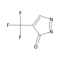 O=C1N=NC=C1C(F)(F)F